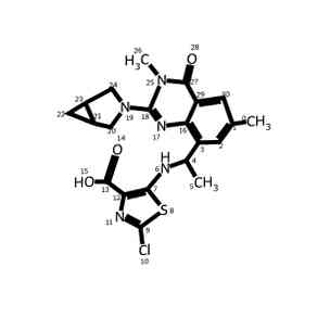 Cc1cc(C(C)Nc2sc(Cl)nc2C(=O)O)c2nc(N3CC4CC4C3)n(C)c(=O)c2c1